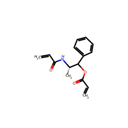 C=CC(=O)N[C@@H](C)C(OC(=O)C=C)c1ccccc1